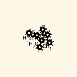 Cc1cccc(C)c1-c1cc(-c2cc3c(cc2Nc2ccccc2)Sc2ccccc2C3(C)C)c2c(c1)N(c1ccccc1)c1ccccc1B2